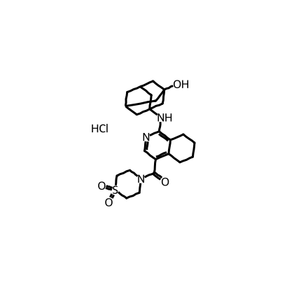 Cl.O=C(c1cnc(NC23CC4CC(CC(O)(C4)C2)C3)c2c1CCCC2)N1CCS(=O)(=O)CC1